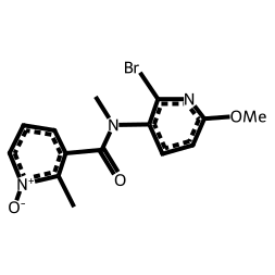 COc1ccc(N(C)C(=O)c2ccc[n+]([O-])c2C)c(Br)n1